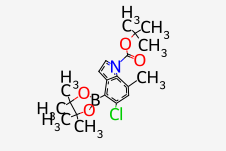 Cc1cc(Cl)c(B2OC(C)(C)C(C)(C)O2)c2ccn(C(=O)OC(C)(C)C)c12